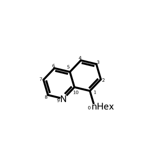 [CH2]CCCCCc1cccc2cccnc12